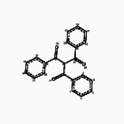 O=C(c1ccccc1)C(C(=O)c1ccccc1)C(=O)c1ccccc1